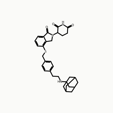 O=C1CCC(N2Cc3c(SCc4ccc(CCNC56CC7CC(CC(C7)C5)C6)cc4)cccc3C2=O)C(=O)N1